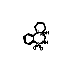 O=S1(=O)NC[C@H]2CCCCN2c2ccccc21